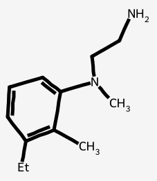 CCc1cccc(N(C)CCN)c1C